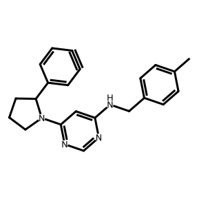 Cc1ccc(CNc2cc(N3CCCC3c3cc#ccc3)ncn2)cc1